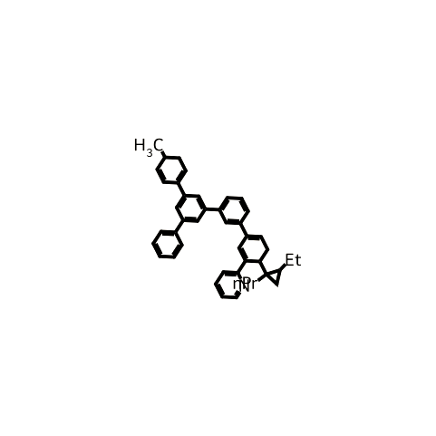 CCCC1(C2CC=C(c3cccc(-c4cc(C5=CCC(C)C=C5)cc(-c5ccccc5)c4)c3)C=C2c2ccccn2)CC1CC